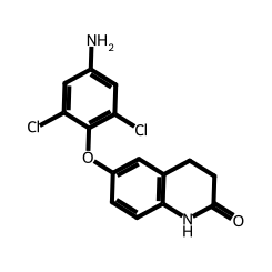 Nc1cc(Cl)c(Oc2ccc3c(c2)CCC(=O)N3)c(Cl)c1